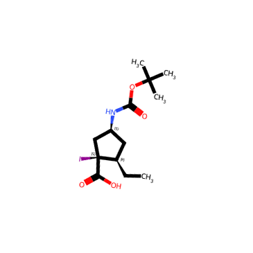 CC[C@@H]1C[C@H](NC(=O)OC(C)(C)C)C[C@@]1(I)C(=O)O